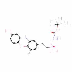 CC(C)(C)OC(=O)NOP(=O)(O)CCc1cc(I)c(Oc2ccc(O)cc2)c(I)c1